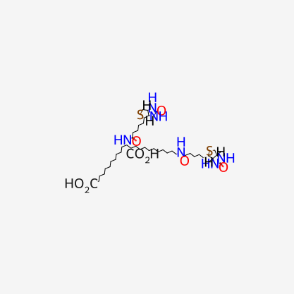 O=C(O)CCCCCCCCCCC(NC(=O)CCCCC1SC[C@@H]2NC(=O)N[C@H]12)C(CCCCCCCCCCNC(=O)CCCC[C@@H]1SC[C@@H]2NC(=O)N[C@@H]21)C(=O)O